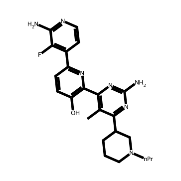 CCCN1CCCC(c2nc(N)nc(-c3nc(-c4ccnc(N)c4F)ccc3O)c2C)C1